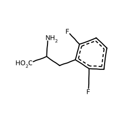 NC(Cc1c(F)cccc1F)C(=O)O